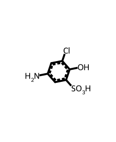 Nc1cc(Cl)c(O)c(S(=O)(=O)O)c1